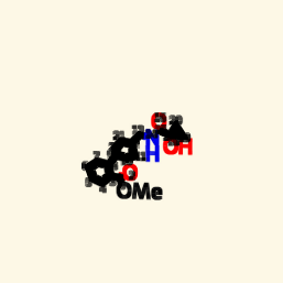 COC(=O)c1ccccc1-c1ccc(CNC(=O)C2(O)CC2)cc1